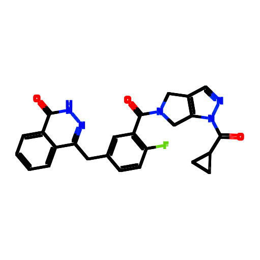 O=C(c1cc(Cc2n[nH]c(=O)c3ccccc23)ccc1F)N1Cc2cnn(C(=O)C3CC3)c2C1